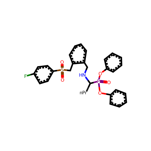 CCCC(NCc1ccccc1CS(=O)(=O)c1ccc(F)cc1)P(=O)(Oc1ccccc1)Oc1ccccc1